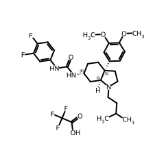 COc1ccc([C@@]23CC[C@@H](NC(=O)Nc4ccc(F)c(F)c4)C[C@@H]2N(CCC(C)C)CC3)cc1OC.O=C(O)C(F)(F)F